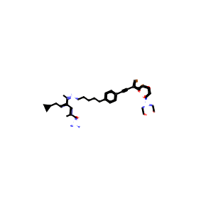 CC(=N/CCCCCc1ccc(C#Cc2csc3c(=O)cc(N4CCOCC4)oc23)cc1)/C(=C\CC1=CC1)/C=C(\C)C(=O)N(C)C